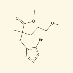 COCCCC(C)(Sc1sccc1Br)C(=O)OC